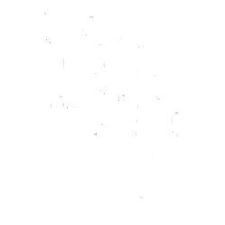 CC(C)(C)CCc1cc2c(cn1)Oc1ccc(-c3cccnc3F)cc1C21COC(N)=N1